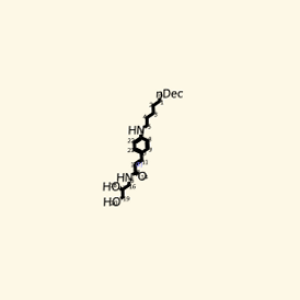 CCCCCCCCCCCCCCCNc1ccc(/C=C/C(=O)NCC(O)CO)cc1